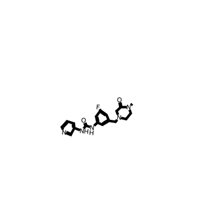 CN1CCN(Cc2cc(F)cc(NC(=O)Nc3cccnc3)c2)CC1=O